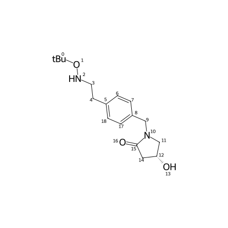 CC(C)(C)ONCCc1ccc(CN2C[C@H](O)CC2=O)cc1